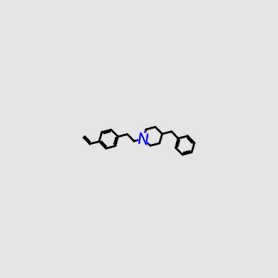 C=Cc1ccc(CCN2CCC(Cc3ccccc3)CC2)cc1